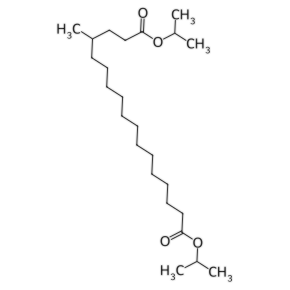 CC(CCCCCCCCCCCCC(=O)OC(C)C)CCC(=O)OC(C)C